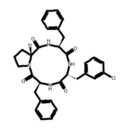 O=C1N[C@H](Cc2cccc(Cl)c2)C(=O)N[C@@H](Cc2ccccc2)C(=O)N2CCC[C@@H]2C(=O)N[C@H]1Cc1ccccc1